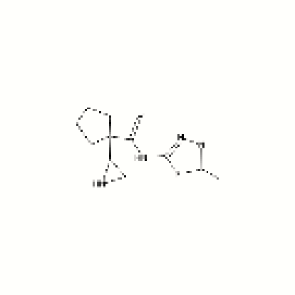 Cc1nnc(NC(=O)C2(C3CN3)CCCC2)s1